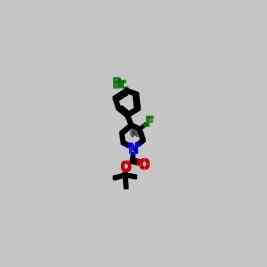 CC(C)(C)OC(=O)N1CCC(c2ccc(Br)cc2)[C@@H](F)C1